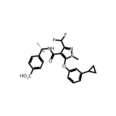 C[C@H](NC(=O)c1c(C(F)F)nn(C)c1Oc1cccc(C2CC2)c1)c1ccc(C(=O)O)cc1